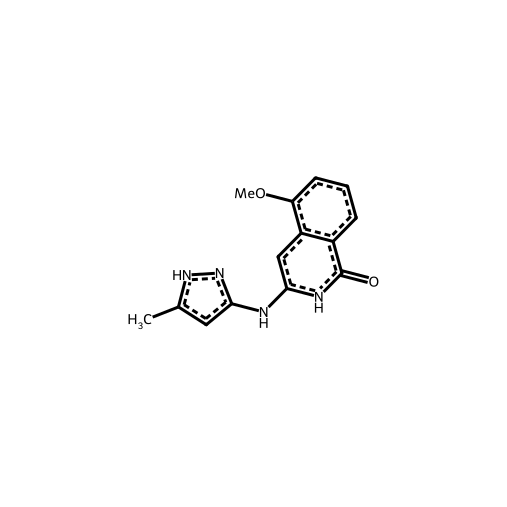 COc1cccc2c(=O)[nH]c(Nc3cc(C)[nH]n3)cc12